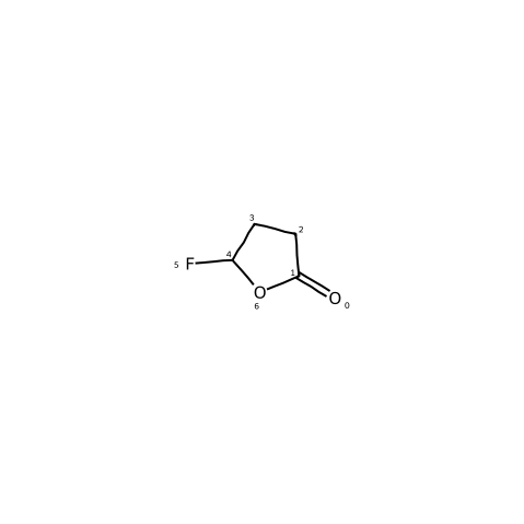 O=C1CCC(F)O1